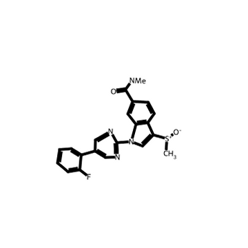 CNC(=O)c1ccc2c([S+](C)[O-])cn(-c3ncc(-c4ccccc4F)cn3)c2c1